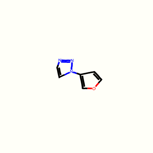 c1cn(-c2ccoc2)nn1